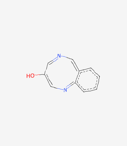 OC1=CN=c2ccccc2=CN=C1